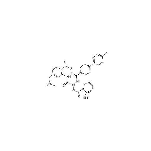 CC(=O)c1ccc(CN(C)C)cc1NC(=O)[C@H](NC(=O)N1CCN(c2ccc(F)cc2)CC1)[C@@H](C)c1c[nH]c2ccccc12